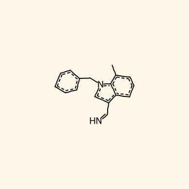 Cc1cccc2c(C=N)cn(Cc3ccccc3)c12